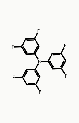 Fc1cc(F)cc(B(c2cc(F)cc(F)c2)c2cc(F)cc(F)c2)c1